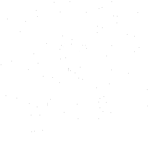 O=C(O)c1cn(-c2ccc(F)cc2)c2ccccc2c1=O